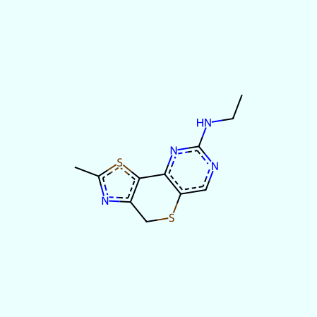 CCNc1ncc2c(n1)-c1sc(C)nc1CS2